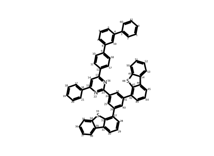 c1ccc(-c2cccc(-c3ccc(-c4cc(-c5ccccc5)nc(-c5cc(-c6cccc7c6sc6ccccc67)cc(-c6cccc7c6sc6ccccc67)c5)n4)cc3)c2)cc1